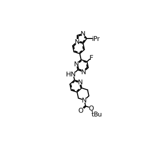 CC(C)c1ncn2ccc(-c3nc(Nc4ccc5c(n4)CCN(C(=O)OC(C)(C)C)C5)ncc3F)cc12